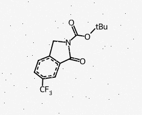 CC(C)(C)OC(=O)N1Cc2ccc(C(F)(F)F)cc2C1=O